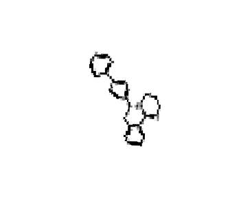 c1ccc(-c2ccc(CSc3ccccc3C3=NCCCN3)cc2)cc1